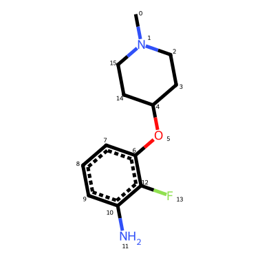 CN1CCC(Oc2cccc(N)c2F)CC1